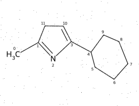 CC1=NC(C2CCCCC2)=CC1